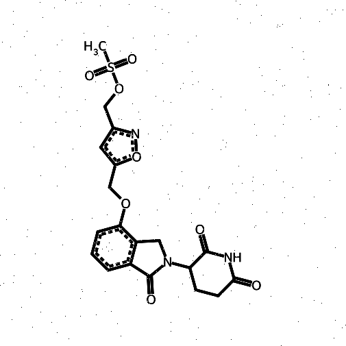 CS(=O)(=O)OCc1cc(COc2cccc3c2CN(C2CCC(=O)NC2=O)C3=O)on1